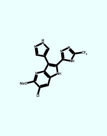 COc1nc2c(-c3cn[nH]c3)c(-c3nnc(C(F)(F)F)[nH]3)[nH]c2cc1Cl